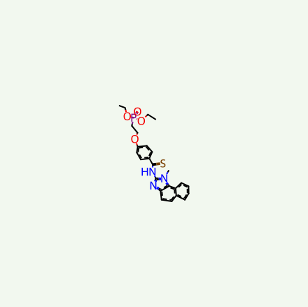 CCOP(=O)(CCOc1ccc(C(=S)Nc2nc3ccc4ccccc4c3n2C)cc1)OCC